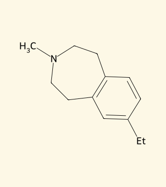 CCc1ccc2c(c1)CCN(C)CC2